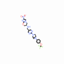 O=[N+]([O-])c1cn2c(n1)OC[C@@H](NCc1cnc(N3CC4CC3CN4c3ccc(OC(F)(F)F)cc3)nc1)C2